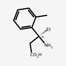 CC[C@](N)(CC(=O)O)c1ccccc1C